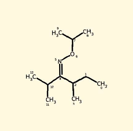 CCC(C)/C(=N\OC(C)C)C(C)C